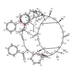 C[P@@]1(=S)OC[C@H]2O[C@@H]3[C@H](F)[C@@H]2O[P@@](=O)(SCc2ccccc2[N+](=O)[O-])OC[C@H]2OC([C@H](F)[C@@H]2O1)n1cnc2c(ncnc21)N(C(=O)c1ccccc1)C/C=C/CN(C(=O)c1ccccc1)c1ncnc2c1ncn23